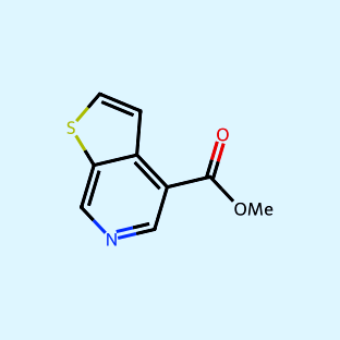 COC(=O)c1cncc2sccc12